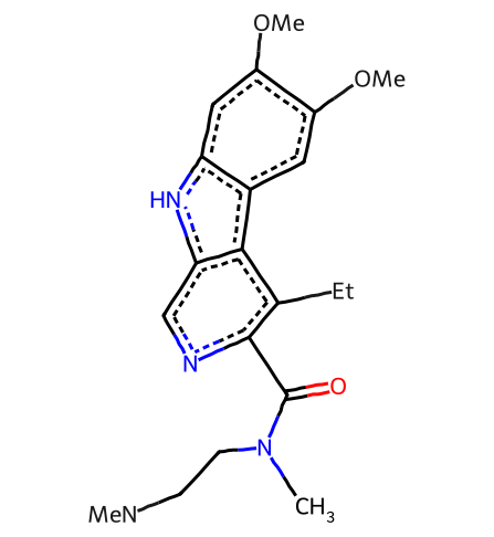 CCc1c(C(=O)N(C)CCNC)ncc2[nH]c3cc(OC)c(OC)cc3c12